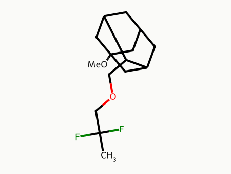 COC12CC3CC(C1)C(COCC(C)(F)F)C(C3)C2